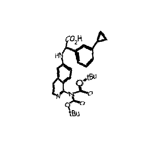 CC(C)(C)OC(=O)N(C(=O)OC(C)(C)C)c1nccc2cc(NC(C(=O)O)c3cccc(C4CC4)c3)ccc12